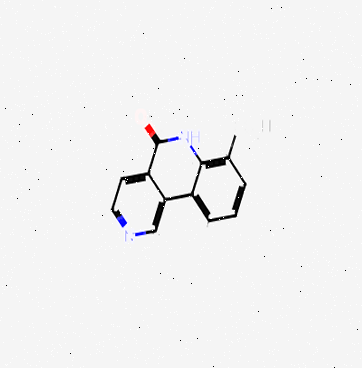 O=C(O)c1cccc2c1[nH]c(=O)c1ccncc12